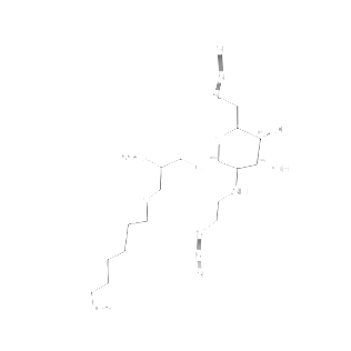 CCCCCCCCCCCCCCCCOCC(CO[C@@H]1OC(CN=[N+]=[N-])[C@@H](O)[C@H](O)C1NCCN=[N+]=[N-])OC